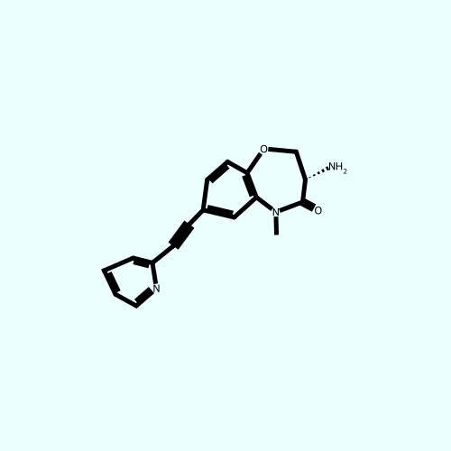 CN1C(=O)[C@@H](N)COc2ccc(C#Cc3ccccn3)cc21